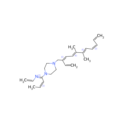 C=C\C=C/C=C(C)/C(C)=C/C=C(\C=C)CN1CCN(C(/C=C\C)=N/C=C)CC1